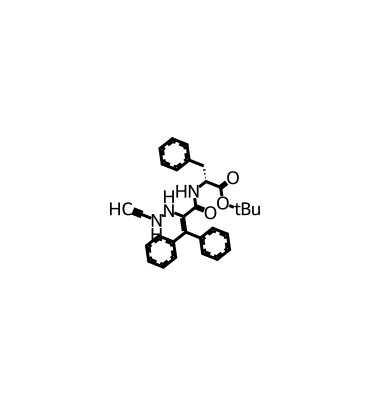 C#CNNC(C(=O)N[C@H](Cc1ccccc1)C(=O)OC(C)(C)C)=C(c1ccccc1)c1ccccc1